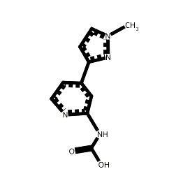 Cn1ccc(-c2ccnc(NC(=O)O)c2)n1